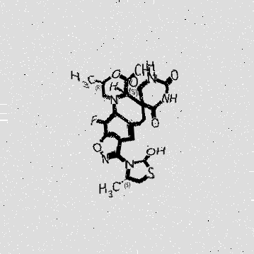 C[C@@H]1CN2c3c(cc4c(N5C(O)SC[C@@H]5C)noc4c3F)CC3(C(=O)NC(=O)NC3=O)[C@H]2[C@H](C)O1